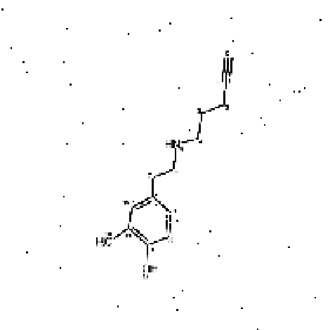 C#CCCCNCCc1ccc(O)c(O)c1